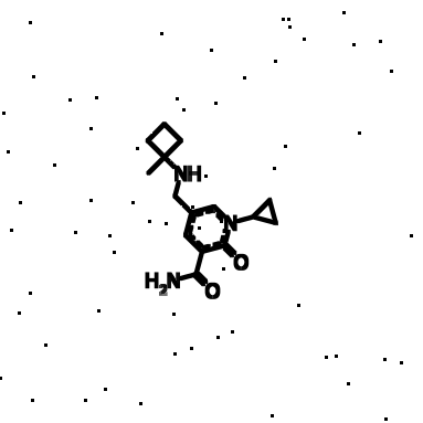 CC1(NCc2cc(C(N)=O)c(=O)n(C3CC3)c2)CCC1